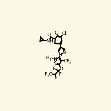 Cn1nc(OC(F)(F)C(F)C(F)(F)F)c(C(F)(F)F)c1-n1cc(C2=CC(Cl)=C(Cl)C(C(=O)NC3CC3)C2)cn1